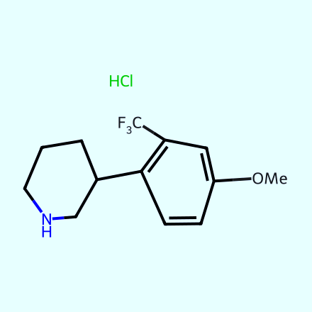 COc1ccc(C2CCCNC2)c(C(F)(F)F)c1.Cl